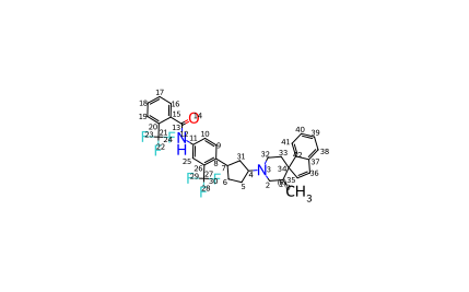 C[C@H]1CN(C2CCC(c3ccc(NC(=O)c4ccccc4C(F)(F)F)cc3C(F)(F)F)C2)CCC12C=Cc1ccccc12